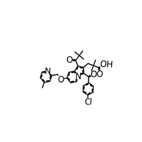 Cc1ccnc(COc2ccn3c(C(=O)c4ccc(Cl)cc4)c(CC(C)(C)C(=O)O)c(C(=O)C(C)(C)C)c3c2)c1